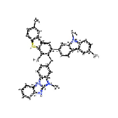 Cc1ccc2sc3c(C)c(Cc4ccc5c(c4)n(C)c4nc6ccccc6n54)c(-c4ccc5c6cc(C)ccc6n(C)c5c4)cc3c2c1